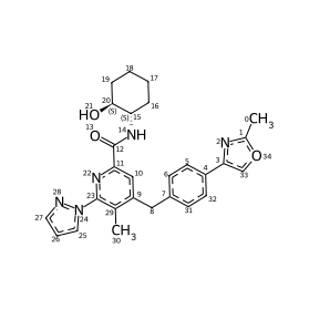 Cc1nc(-c2ccc(Cc3cc(C(=O)N[C@H]4CCCC[C@@H]4O)nc(-n4cccn4)c3C)cc2)co1